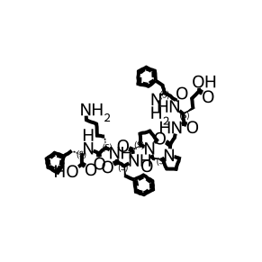 NCCCC[C@H](NC(=O)[C@H](Cc1ccccc1)NC(=O)[C@@H]1CCCN1C(=O)[C@@H]1CCCN1C(=O)CNC(=O)[C@H](CCC(=O)O)NC(=O)[C@@H](N)Cc1ccccc1)C(=O)N[C@@H](Cc1ccccc1)C(=O)O